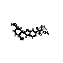 CN(C)S(=O)(=O)c1ccc2cn(-c3cc(O)ccc3O)nc2c1